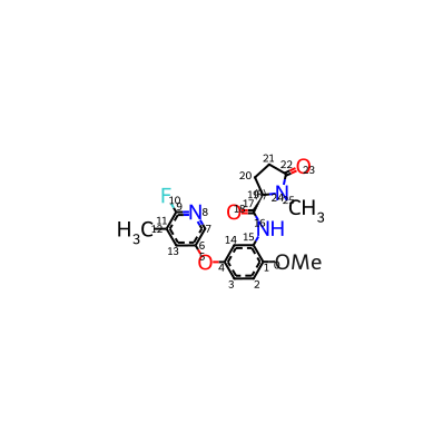 COc1ccc(Oc2cnc(F)c(C)c2)cc1NC(=O)[C@H]1CCC(=O)N1C